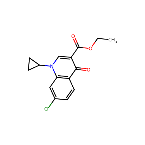 CCOC(=O)c1cn(C2CC2)c2cc(Cl)ccc2c1=O